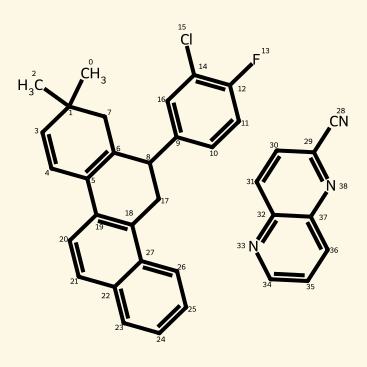 CC1(C)C=CC2=C(C1)C(c1ccc(F)c(Cl)c1)Cc1c2ccc2ccccc12.N#Cc1ccc2ncccc2n1